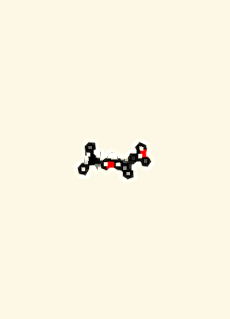 c1ccc(-c2nc(-c3ccccc3)nc(-c3ccc4c(c3)oc3cc5c(cc34)c3ccccc3n5-c3ccc4c5ccccc5c5ccccc5c4c3)n2)cc1